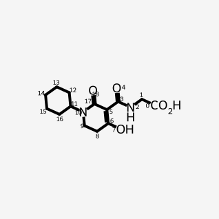 O=C(O)CNC(=O)C1=C(O)CCN(C2CCCCC2)C1=O